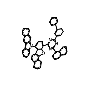 C1=C(c2ccccc2)CCC=C1c1nc(C2=CC=C(n3c4ccccc4c4cc5ccccc5cc43)C3c4ccc5ccccc5c4OC23)nc(-c2cccc3ccccc23)n1